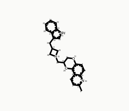 Cc1ccc2c3c(ccc2n1)OCC(CN1CC(Cc2c[nH]c4ccccc24)C1)O3